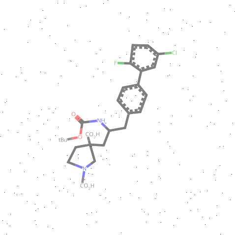 CC(C)(C)OC(=O)NC(Cc1ccc(-c2cc(Cl)ccc2F)cc1)CC1(C(=O)O)CCN(C(=O)O)C1